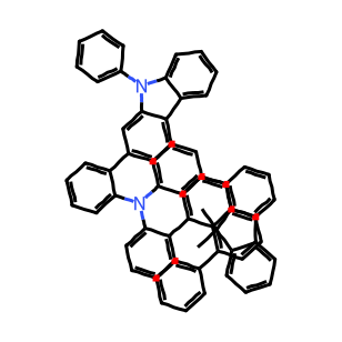 CC1(C)c2ccccc2-c2cccc(-c3cccc(N(c4ccccc4-c4ccc5c6ccccc6n(-c6ccccc6)c5c4)c4ccccc4-c4cccc5cccc(-c6ccccc6)c45)c3)c21